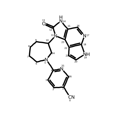 N#Cc1ccc(N2CCCCC(n3c(=O)[nH]c4cnc5[nH]ccc5c43)C2)nc1